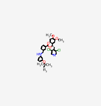 COc1ccc([C@H](Cc2c(Cl)cncc2Cl)OC(=O)c2cccc(CNc3cccc(O[Si](C)(C)C)c3)c2)cc1OC